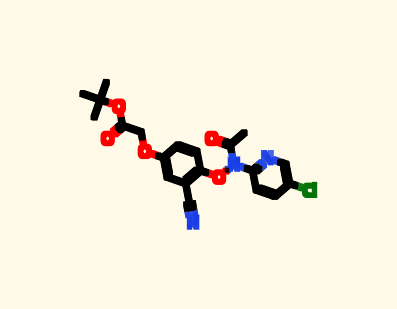 CC(=O)N(Oc1ccc(OCC(=O)OC(C)(C)C)cc1C#N)c1ccc(Cl)cn1